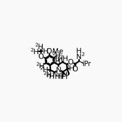 [2H]c1c(OC([2H])([2H])[2H])c(OC)c([2H])c2c1C([2H])([2H])C([2H])([2H])N1C([2H])([2H])C([2H])(CC(C)C)C(OC(=O)[C@@H](N)C(C)C)C([2H])([2H])C21[2H]